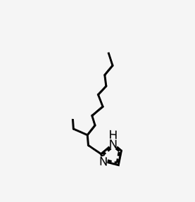 CCCCCCCCC(CC)Cc1ncc[nH]1